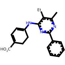 CCc1c(C)nc(-c2ccccc2)nc1NC1=CC=C(C(=O)O)CC1